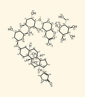 CC(=O)O[C@H]1C[C@H](O[C@H]2[C@@H](O)C[C@H](O[C@H]3[C@@H](O)C[C@H](OC4CC[C@@]5(C)[C@H](CC[C@@H]6[C@@H]5CC[C@]5(C)[C@@H](C7=CC(=O)OC7)CC[C@]65O)C4)O[C@@H]3C)O[C@@H]2C)O[C@H](C)[C@H]1O[C@@H]1O[C@H](CO)[C@@H](O)[C@H](O)[C@H]1O